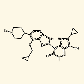 CCN1CCC(c2ccc3[nH]c(-c4c(=O)[nH]cc5c(C#N)c(C6CC6)[nH]c45)nc3c2OCC2CC2)CC1